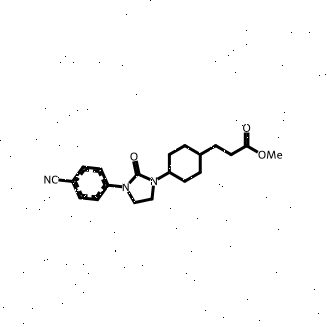 COC(=O)CCC1CCC(N2CCN(c3ccc(C#N)cc3)C2=O)CC1